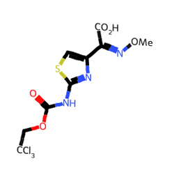 CO/N=C(\C(=O)O)c1csc(NC(=O)OCC(Cl)(Cl)Cl)n1